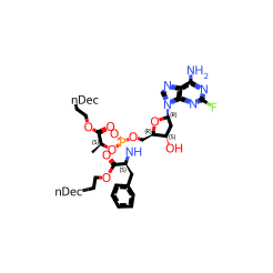 CCCCCCCCCCCCOC(=O)[C@H](Cc1ccccc1)NP(=O)(OC[C@H]1O[C@@H](n2cnc3c(N)nc(F)nc32)C[C@@H]1O)O[C@@H](C)C(=O)OCCCCCCCCCCCC